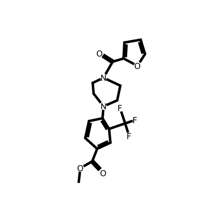 COC(=O)c1ccc(N2CCN(C(=O)c3ccco3)CC2)c(C(F)(F)F)c1